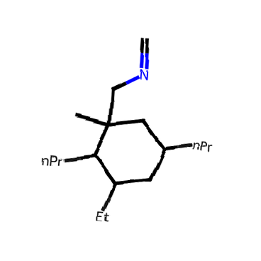 C=NCC1(C)CC(CCC)CC(CC)C1CCC